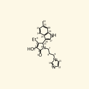 CCC1=C(O)C(=O)N(CCCn2ccnc2)C1c1c[nH]c2cc(C)ccc12